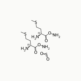 CSCC[C@H](N)C(=O)ON.CSCC[C@H](N)C(=O)ON.O=S=O